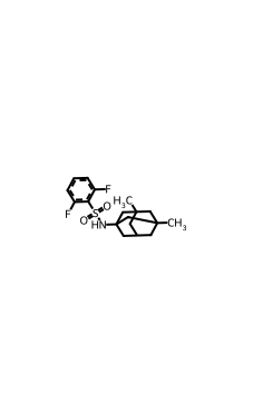 CC12CC3CC(C)(C1)CC(NS(=O)(=O)c1c(F)cccc1F)(C3)C2